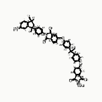 CC(C)c1ccc2c(c1)C(C)(c1ccc(N3C(=O)c4ccc(Oc5ccc(C(C)(C)c6ccc(Oc7ccc8c(c7)C(=O)N(C(C)(C)C)C8=O)cc6)cc5)cc4C3=O)cc1)CC2(C)C